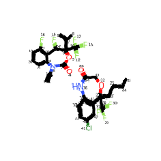 C#CN1C(=O)OC(C(C)C)(C(F)(F)F)C(F)c2c(F)cccc21.CCCCC1(C(F)(F)F)OCC(=O)Nc2ccc(Cl)cc21